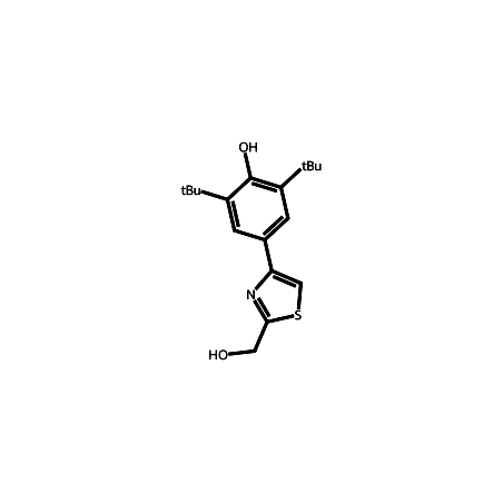 CC(C)(C)c1cc(-c2csc(CO)n2)cc(C(C)(C)C)c1O